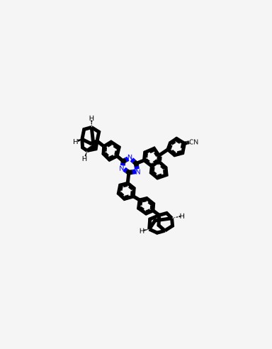 N#Cc1ccc(-c2ccc(-c3nc(-c4ccc(C56C[C@H]7C[C@@H](C5)C[C@@H](C6)C7)cc4)nc(-c4cccc(-c5ccc(C67CC8C[C@H](C6)C[C@@H](C8)C7)cc5)c4)n3)c3ccccc23)cc1